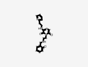 O=c1c(NCCc2ccccn2)ncc(Cl)n1CCNCc1ccccc1Cl